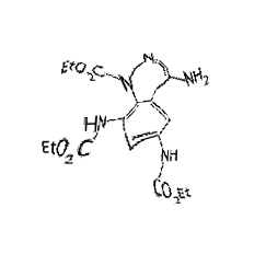 CCOC(=O)Nc1cc(NC(=O)OCC)c2c(c1)c(N)nn2C(=O)OCC